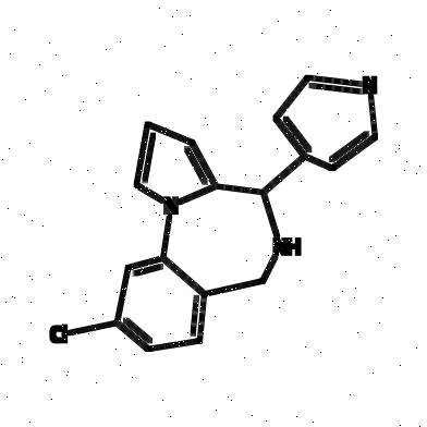 Clc1ccc2c(c1)-n1cccc1C(c1ccncc1)NC2